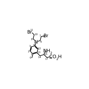 Cc1ccc(N(CCBr)CCBr)cc1CC(N)CC(=O)O